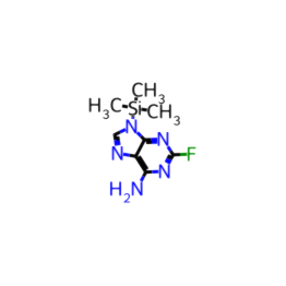 C[Si](C)(C)n1cnc2c(N)nc(F)nc21